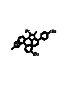 CC1=C(C(C)C)C(c2ccc3c(c2-c2ccc(C(C)(C)C)cc2)C2=C(C)C3[Si]2(C)C)c2cccc(-c3ccc(C(C)(C)C)cc3)c21